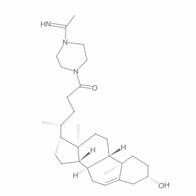 CC(=N)N1CCN(C(=O)CC[C@@H](C)[C@H]2CC[C@H]3[C@@H]4CC=C5C[C@@H](O)CC[C@]5(C)[C@H]4CC[C@]23C)CC1